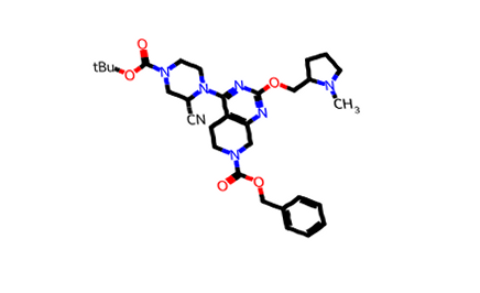 CN1CCCC1COc1nc2c(c(N3CCN(C(=O)OC(C)(C)C)CC3C#N)n1)CCN(C(=O)OCc1ccccc1)C2